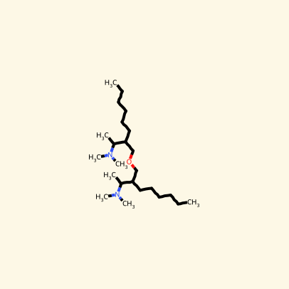 CCCCCCC(COCC(CCCCCC)C(C)N(C)C)C(C)N(C)C